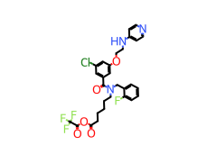 O=C(CCCCCN(Cc1ccccc1F)C(=O)c1cc(Cl)cc(OCCNc2ccncc2)c1)OC(=O)C(F)(F)F